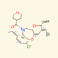 C/C=C(\C=C/C(C)Cl)[C@H]1CO/C(=C/C(=C\CC)C(=O)OC)CCN1C(=O)C1CCOCC1